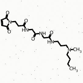 CCCCN(C)CCCNC(=O)CNC(=O)CNC(=O)CCN1C(=O)C=CC1=O